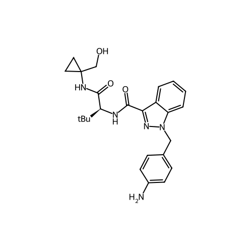 CC(C)(C)[C@H](NC(=O)c1nn(Cc2ccc(N)cc2)c2ccccc12)C(=O)NC1(CO)CC1